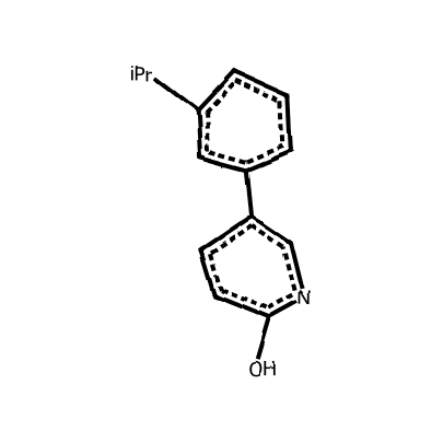 CC(C)c1cccc(-c2ccc(O)nc2)c1